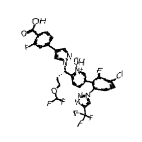 O=C(O)c1ccc(-c2cnn([C@@H](CCOC(F)F)c3ccc(-c4c(-n5cc(C(F)(F)F)nn5)ccc(Cl)c4F)c[n+]3O)c2)cc1F